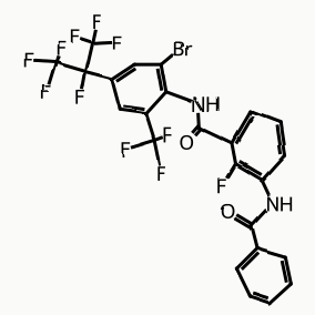 O=C(Nc1cccc(C(=O)Nc2c(Br)cc(C(F)(C(F)(F)F)C(F)(F)F)cc2C(F)(F)F)c1F)c1ccccc1